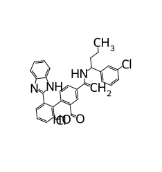 C=C(NC(CCC)c1cccc(Cl)c1)c1ccc(-c2c(Cl)cccc2-c2nc3ccccc3[nH]2)c(C(=O)O)c1